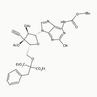 C#C[C@@]1(OC(C)=O)[C@@H](COC(Cc2ccccc2)(C(=O)OCC)C(=O)OCC)O[C@@H](n2cnc3c(NC(=O)OC(C)(C)C)nc(C#N)nc32)[C@@H]1OC(C)=O